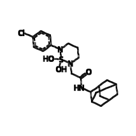 O=C(CN1CCCN(c2ccc(Cl)cc2)S1(O)O)NC1C2CC3CC(C2)CC1C3